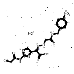 Cl.O=C(CCl)Nc1nc(/C(=N/OCC(=O)OCc2ccc([N+](=O)[O-])cc2)C(=O)Cl)cs1